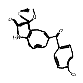 COC1(OC)C(=O)Nc2ccc(C(=O)c3ccc(Cl)cc3)cc21